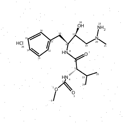 COC(=O)N[C@H](C(=O)N[C@@H](Cc1ccccc1)[C@@H](O)CN(C)N)C(C)C.Cl